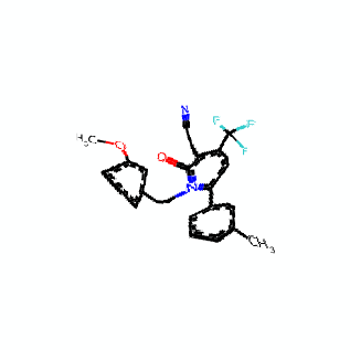 COc1cccc(Cn2c(-c3cccc(C)c3)cc(C(F)(F)F)c(C#N)c2=O)c1